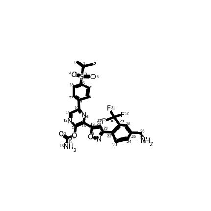 CC(C)S(=O)(=O)c1ccc(-c2cnc(OC(N)=O)c(-c3cc(-c4ccc(CN)cc4C(F)(F)F)no3)n2)cc1